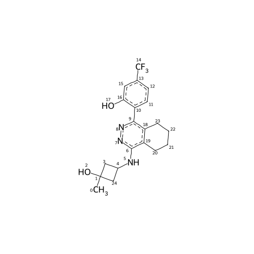 CC1(O)CC(Nc2nnc(-c3ccc(C(F)(F)F)cc3O)c3c2CCCC3)C1